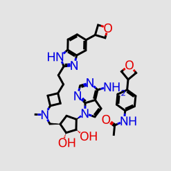 CC(=O)Nc1ccc(C2COC2)cc1.CN(C[C@H]1C[C@@H](n2ccc3c(N)ncnc32)[C@H](O)[C@@H]1O)C1CC(CCc2nc3cc(C4COC4)ccc3[nH]2)C1